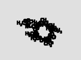 CCc1nn(Cc2ccc(C[C@H]3OC(=O)[C@H](CC(C)C)N(C)C(=O)[C@@H](C)OC(=O)[C@H](CC(C)C)N(C)C(=O)[C@@H](Cc4ccccc4)OC(=O)[C@H](CC(C)C)N(C)C(=O)[C@@H](C)OC(=O)[C@H](CC(C)C)N(C)C3=O)cc2)c(CC)c1[N+](=O)[O-]